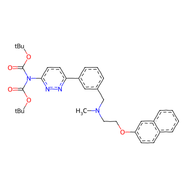 CN(CCOc1ccc2ccccc2c1)Cc1cccc(-c2ccc(N(C(=O)OC(C)(C)C)C(=O)OC(C)(C)C)nn2)c1